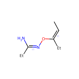 C/C=C(/CC)O/N=C(\N)CC